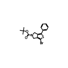 CC(C)(C)OC(=O)N1Cc2c(Br)sc(-c3ccccc3)c2C1